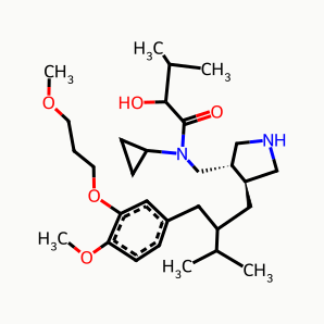 COCCCOc1cc(CC(C[C@@H]2CNC[C@H]2CN(C(=O)C(O)C(C)C)C2CC2)C(C)C)ccc1OC